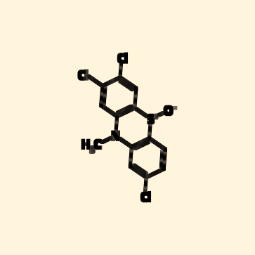 CN1c2cc(Cl)ccc2[S+]([O-])c2cc(Cl)c(Cl)cc21